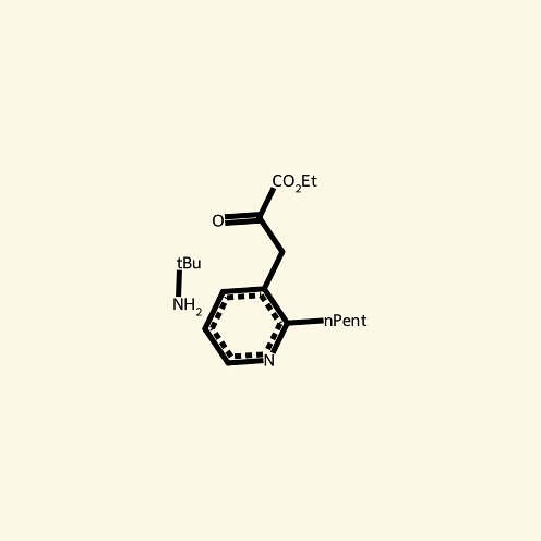 CC(C)(C)N.CCCCCc1ncccc1CC(=O)C(=O)OCC